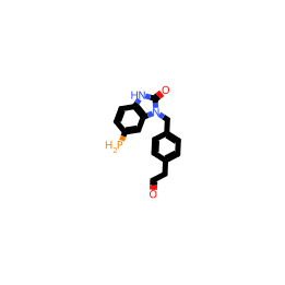 O=CCc1ccc(Cn2c(=O)[nH]c3ccc(P)cc32)cc1